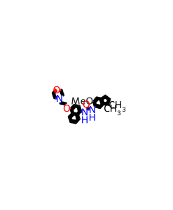 COc1cc2c(cc1NC(=O)Nc1ccc(OCCN3CCOCC3)c3ccccc13)C(C)(C)CC2